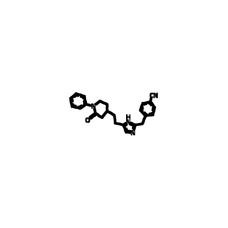 N#Cc1ccc(Cc2ncc(CCC3CCN(c4ccccc4)C(=O)C3)[nH]2)cc1